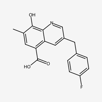 Cc1cc(C(=O)O)c2cc(Cc3ccc(F)cc3)cnc2c1O